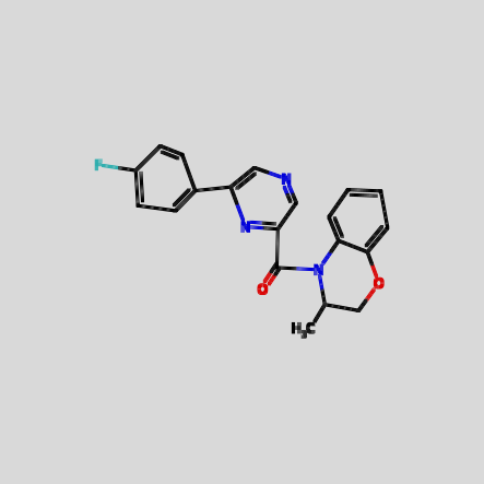 CC1COc2ccccc2N1C(=O)c1cncc(-c2ccc(F)cc2)n1